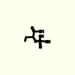 CCC(OP(=O)(O)O)C(=O)O